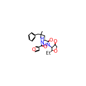 CCC1OCC(=O)C1NC(=O)[C@H](CC(C)(C)Cc1ccccc1)NC(=O)c1ccoc1